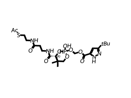 CC(=O)SCCNC(=O)CCNC(=O)[C@@H]1O[PH](O)(OCOC(=O)c2cc(C(C)(C)C)n[nH]2)OCC1(C)C